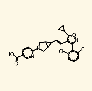 O=C(O)c1ccc(N2CC3C(/C=C/c4c(-c5c(Cl)cccc5Cl)noc4C4CC4)C3C2)nc1